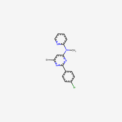 CCc1cc(N(C)c2ccccn2)nc(-c2ccc(Br)cc2)n1